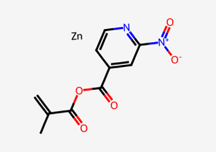 C=C(C)C(=O)OC(=O)c1ccnc([N+](=O)[O-])c1.[Zn]